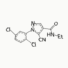 CCNC(=O)c1cnn(-c2cc(Cl)ccc2Cl)c1C#N